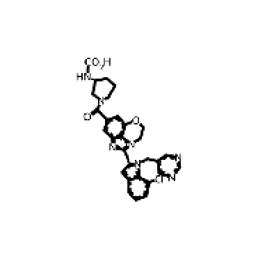 O=C(O)N[C@@H]1CCCN(C(=O)c2cc3c4c(c2)nc(-c2cc5cccc(Cl)c5n2Cc2cncnc2)n4CCO3)C1